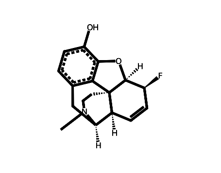 CN1CC[C@]23c4c5ccc(O)c4O[C@H]2[C@@H](F)C=C[C@H]3[C@H]1C5